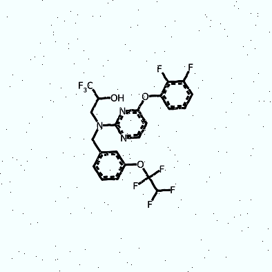 OC(CN(Cc1cccc(OC(F)(F)C(F)F)c1)c1nccc(Oc2cccc(F)c2F)n1)C(F)(F)F